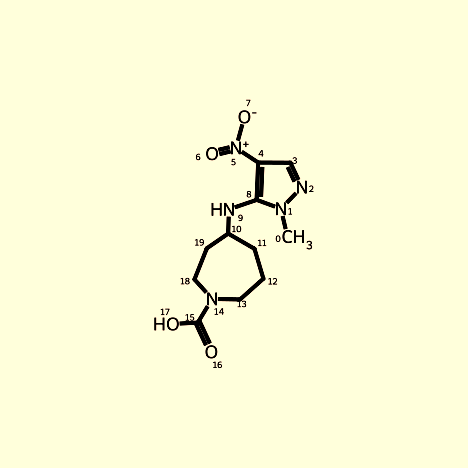 Cn1ncc([N+](=O)[O-])c1NC1CCCN(C(=O)O)CC1